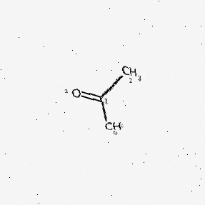 [CH]C(C)=O